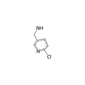 [NH]Cc1ccc(Cl)nc1